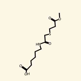 COC(=O)CCSCC(=O)NCCCCCC(=O)O